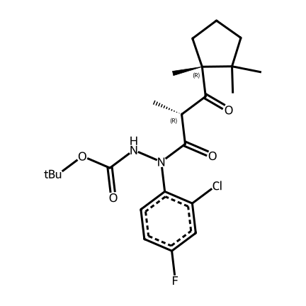 C[C@@H](C(=O)N(NC(=O)OC(C)(C)C)c1ccc(F)cc1Cl)C(=O)[C@]1(C)CCCC1(C)C